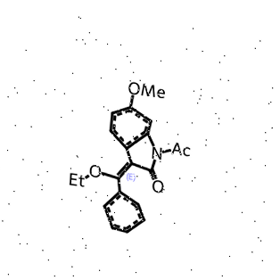 CCO/C(=C1/C(=O)N(C(C)=O)c2cc(OC)ccc21)c1ccccc1